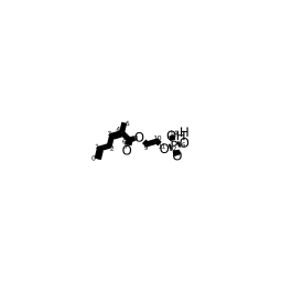 C=CCC=C(C)C(=O)OCCOP(=O)(O)O